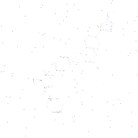 CC(C)n1cc(-c2ccc3c(Oc4ccc(NC(=O)C5(C(=O)Nc6ccc(F)cc6)CC5)cc4)ccnc3c2)cn1.Cl